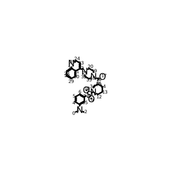 CN(C)c1cccc(S(=O)(=O)N2CCC[C@@H](C(=O)N3CCN(c4ccnc5ccccc45)CC3)C2)c1